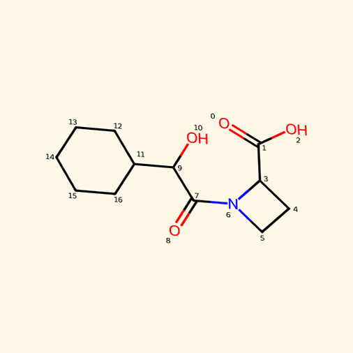 O=C(O)C1CCN1C(=O)C(O)C1CCCCC1